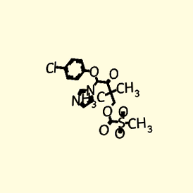 CC(C)(COC(=O)S(C)(=O)=O)C(=O)C(Oc1ccc(Cl)cc1)n1ccnc1